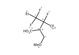 CCC(F)(F)C(F)(N(COC)C(=O)O)C(F)(F)F